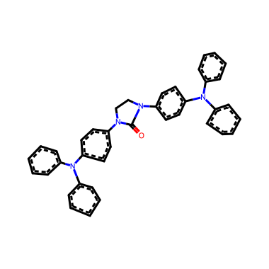 O=C1N(c2ccc(N(c3ccccc3)c3ccccc3)cc2)CCN1c1ccc(N(c2ccccc2)c2ccccc2)cc1